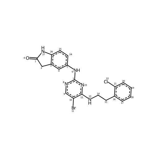 O=C1Cc2cc(Nc3ncc(Br)c(NCCc4ccccc4Cl)n3)ccc2N1